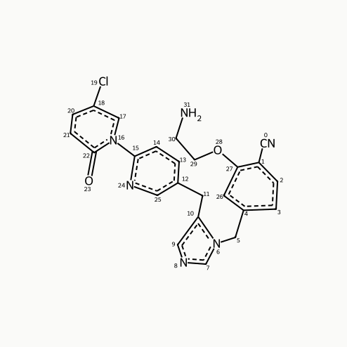 N#Cc1ccc(Cn2cncc2Cc2ccc(-n3cc(Cl)ccc3=O)nc2)cc1OCCN